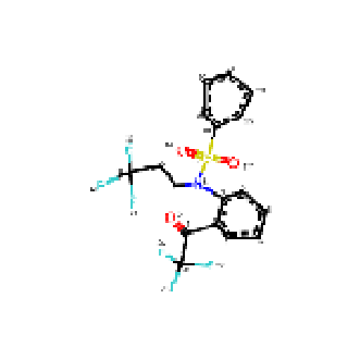 O=C(c1ccccc1N(CCC(F)(F)F)S(=O)(=O)c1ccccc1)C(F)(F)F